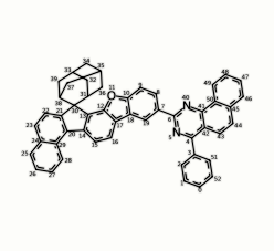 c1ccc(-c2nc(-c3ccc4oc5c6c(ccc5c4c3)-c3c(ccc4ccccc34)C63C4CC5CC(C4)CC3C5)nc3c2ccc2ccccc23)cc1